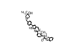 Cc1c(NC(=O)N2Cc3ccccc3C2)cccc1-c1ncc2cc(-c3ccc(CN4CCC(C)(O)CC4)cc3)[nH]c2n1